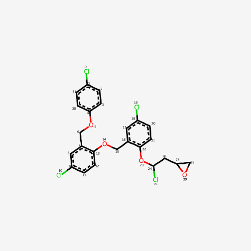 Clc1ccc(OCc2cc(Cl)ccc2OCc2cc(Cl)ccc2OC(Cl)CC2CO2)cc1